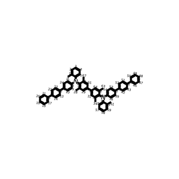 Cc1ccccc1N(c1ccc(-c2ccc(-c3ccccc3)cc2)cc1)c1c(C)cc(-c2cc(C)c(N(c3ccc(-c4ccc(-c5ccccc5)cc4)cc3)c3ccccc3C)c(C)c2)cc1C